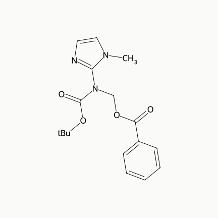 Cn1ccnc1N(COC(=O)c1ccccc1)C(=O)OC(C)(C)C